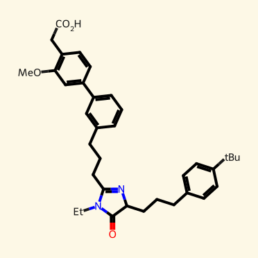 CCN1C(=O)C(CCCc2ccc(C(C)(C)C)cc2)N=C1CCCc1cccc(-c2ccc(CC(=O)O)c(OC)c2)c1